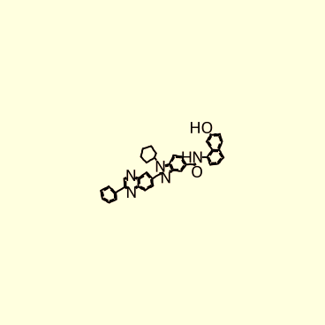 O=C(Nc1cccc2ccc(O)cc12)c1ccc2c(c1)nc(-c1ccc3nc(-c4ccccc4)cnc3c1)n2C1CCCCC1